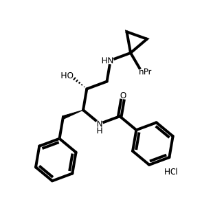 CCCC1(NC[C@@H](O)[C@H](Cc2ccccc2)NC(=O)c2ccccc2)CC1.Cl